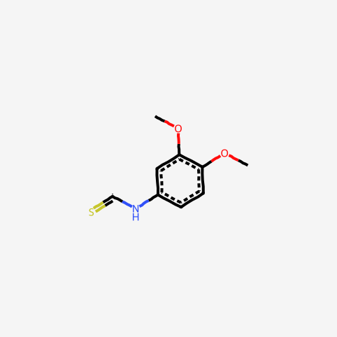 COc1ccc(N[C]=S)cc1OC